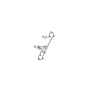 CCC1CC1CC1CC1CC1CC1CCCCCCCCC(CCCCCCCCC1CC1C[C@H]1CC1CC1CC1CC)OC(=O)CCCN(C)C